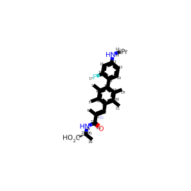 C/C(=C\c1c(C)c(C)c(-c2ccc(NC(C)C)cc2F)c(C)c1C)C(=O)N[C@H](C)C(=O)O